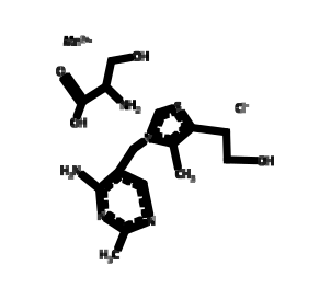 Cc1ncc(C[n+]2csc(CCO)c2C)c(N)n1.NC(CO)C(=O)O.[Cl-].[Mn+2]